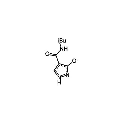 CCC(C)NC(=O)c1c[nH]nc1[O]